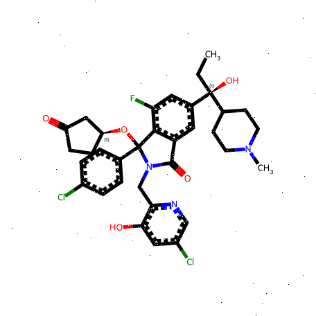 CC[C@@](O)(c1cc(F)c2c(c1)C(=O)N(Cc1ncc(Cl)cc1O)C2(O[C@H]1CCC(=O)C1)c1ccc(Cl)cc1)C1CCN(C)CC1